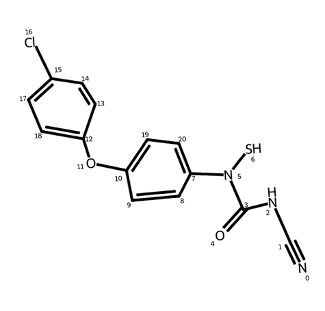 N#CNC(=O)N(S)c1ccc(Oc2ccc(Cl)cc2)cc1